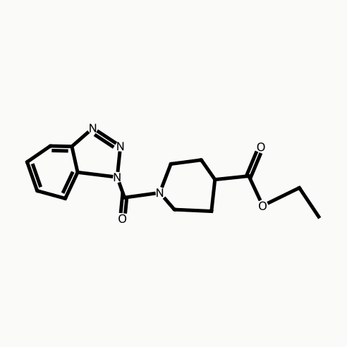 CCOC(=O)C1CCN(C(=O)n2nnc3ccccc32)CC1